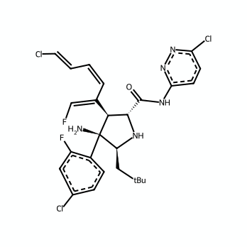 CC(C)(C)C[C@@H]1N[C@@H](C(=O)Nc2ccc(Cl)nn2)[C@H](C(/C=C\C=C\Cl)=C\F)[C@@]1(N)c1ccc(Cl)cc1F